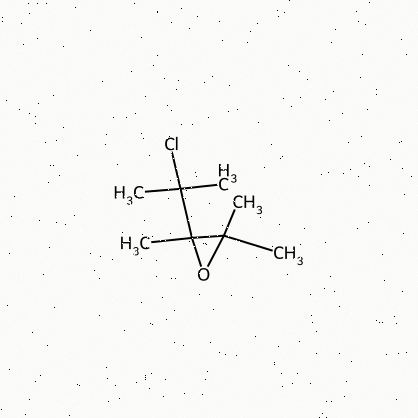 CC(C)(Cl)C1(C)OC1(C)C